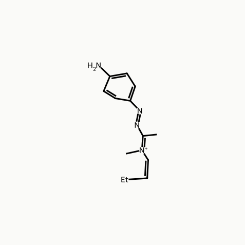 CC/C=C\[N+](C)=C(/C)N=Nc1ccc(N)cc1